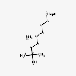 CCCCCCCCCCCCCC(C)(C)O.N